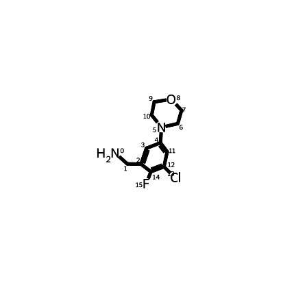 NCc1cc(N2CCOCC2)cc(Cl)c1F